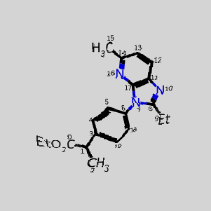 CCOC(=O)C(C)c1ccc(-n2c(CC)nc3ccc(C)nc32)cc1